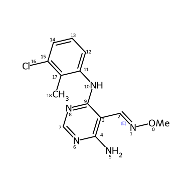 CO/N=C/c1c(N)ncnc1Nc1cccc(Cl)c1C